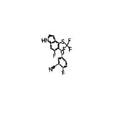 N#Cc1cc(Oc2c(F)cc3[nH]ccc3c2SC(F)(F)F)ccc1F